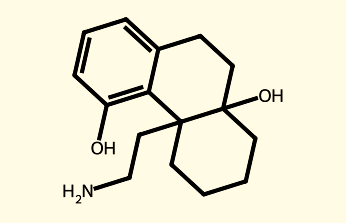 NCCC12CCCCC1(O)CCc1cccc(O)c12